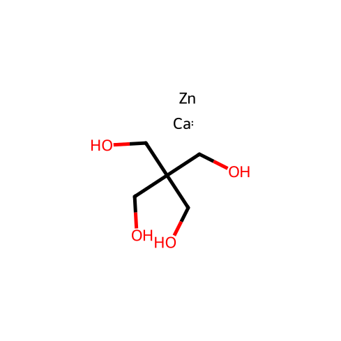 OCC(CO)(CO)CO.[Ca].[Zn]